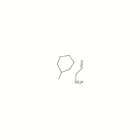 C=CCS(=O)(=O)O.CC1CCCCC1